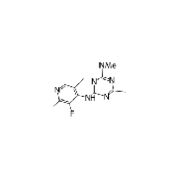 CNc1nc(C)nc(Nc2c(C)cnc(C)c2F)n1